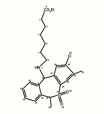 CCOC(=O)CCCCCCNC1c2ccccc2N(C)S(=O)(=O)c2cc(C)c(Cl)cc21